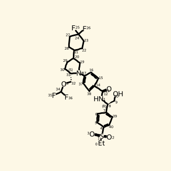 CCS(=O)(=O)c1ccc([C@H](CO)NC(=O)c2ccc(N3CC(C4CCC(F)(F)CC4)CC[C@H]3COC(F)F)cc2)cc1